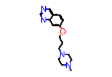 CN1CCN(CCCOc2ccc3cncnc3c2)CC1